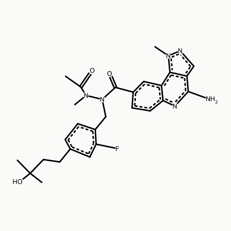 CC(=O)N(C)N(Cc1ccc(CCC(C)(C)O)cc1F)C(=O)c1ccc2nc(N)c3cnn(C)c3c2c1